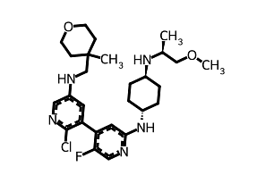 COC[C@H](C)N[C@H]1CC[C@H](Nc2cc(-c3cc(NCC4(C)CCOCC4)cnc3Cl)c(F)cn2)CC1